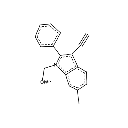 C#Cc1c(-c2ccccc2)n(COC)c2cc(C)ccc12